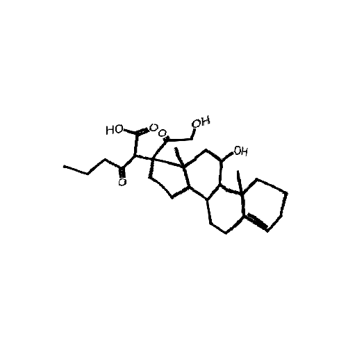 CCCC(=O)C(C(=O)O)C1(C(=O)CO)CCC2C3CCC4=CCCCC4(C)C3C(O)CC21C